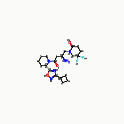 N[C@@H](CC(=O)N1CCCC[C@H]1c1nc(C2CCC2)no1)CN1CC(F)(F)CCC1=O